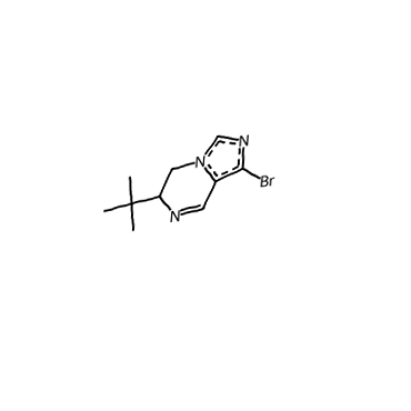 CC(C)(C)C1Cn2cnc(Br)c2C=N1